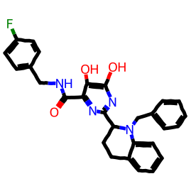 O=C(NCc1ccc(F)cc1)c1nc(C2CCc3ccccc3N2Cc2ccccc2)nc(O)c1O